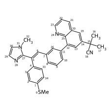 CSc1ccc(/C(=C\c2cccc(-c3cc(C(C)(C)C#N)cc4cccnc34)c2)c2nccn2C)cc1